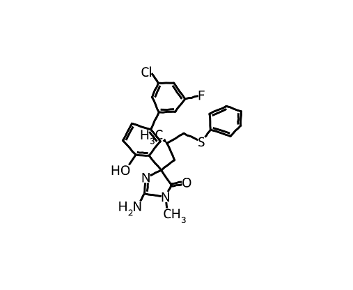 C[C@@H](CSc1ccccc1)CC1(c2cc(-c3cc(F)cc(Cl)c3)ccc2O)N=C(N)N(C)C1=O